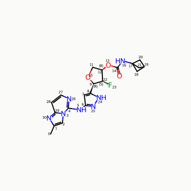 Cc1cn2c(Nc3cc([C@H]4OC[C@@H](OC(=O)NC56CC(C5)C6)[C@H]4F)[nH]n3)nccc2n1